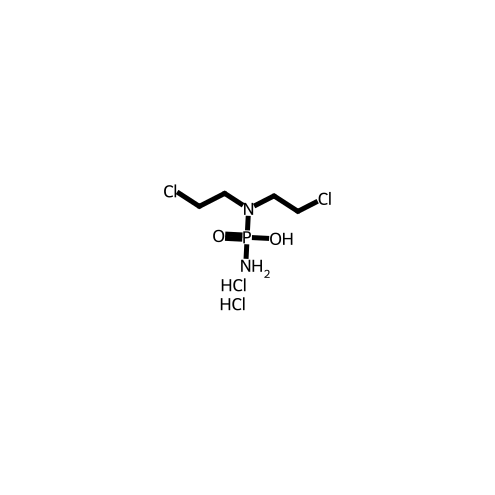 Cl.Cl.NP(=O)(O)N(CCCl)CCCl